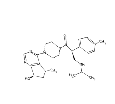 Cc1ccc([C@@H](CNC(C)C)C(=O)N2CCN(c3ncnc4c3[C@H](C)C[C@H]4O)CC2)cc1